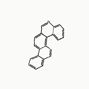 c1ccc2c(c1)ccc1c2ccc2cnc3ccccc3c21